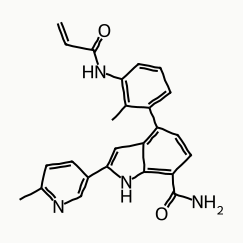 C=CC(=O)Nc1cccc(-c2ccc(C(N)=O)c3[nH]c(-c4ccc(C)nc4)cc23)c1C